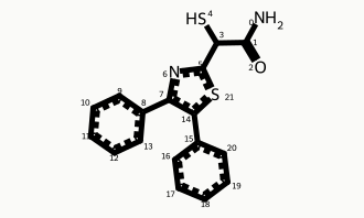 NC(=O)C(S)c1nc(-c2ccccc2)c(-c2ccccc2)s1